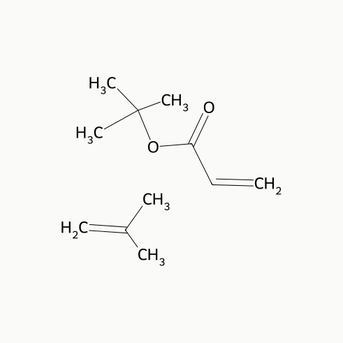 C=C(C)C.C=CC(=O)OC(C)(C)C